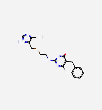 Cc1nc[nH]c1CSCCNc1nc(C)c(Cc2ccccc2)c(=O)[nH]1